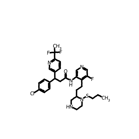 CCCSN1CCNCC1CCc1c(F)cncc1NC(=O)CC(c1ccc(Cl)cc1)c1ccc(C(C)(F)F)nc1